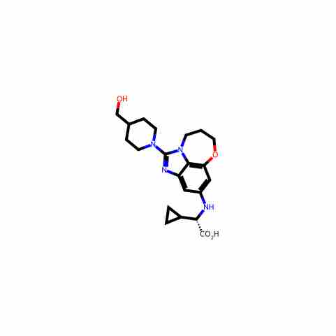 O=C(O)[C@@H](Nc1cc2c3c(c1)nc(N1CCC(CO)CC1)n3CCCO2)C1CC1